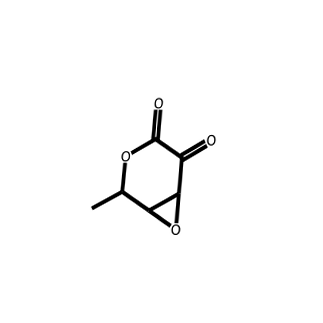 CC1OC(=O)C(=O)C2OC12